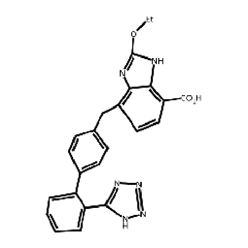 CCOc1nc2c(Cc3ccc(-c4ccccc4-c4nnn[nH]4)cc3)ccc(C(=O)O)c2[nH]1